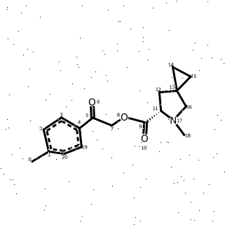 Cc1ccc(C(=O)COC(=O)[C@@H]2CC3(CC3)CN2C)cc1